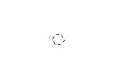 N.O=C(O)c1cccc(S(=O)(=O)O)c1